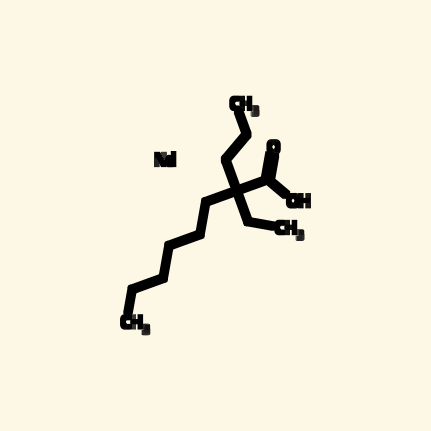 CCCCCCC(CC)(CCC)C(=O)O.[Nd]